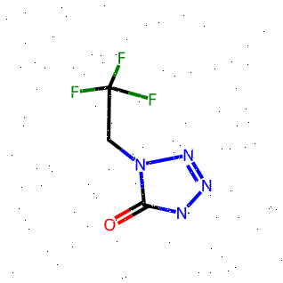 O=C1[N]N=NN1CC(F)(F)F